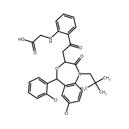 CC(C)(C)CN1C(=O)C(CC(=O)c2ccccc2NCC(=O)O)OC(c2ccccc2Cl)c2cc(Cl)ccc21